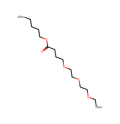 CCCCCCCCCCCCCCOC(=O)CCCOCCOCCOCCCCCCCCCCC